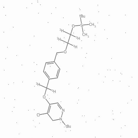 [2H]C([2H])(OC1=C(Cl)CN(C(C)(C)C)N=C1)c1ccc(COC([2H])([2H])C([2H])([2H])O[Si](C)(C)C(C)(C)C)cc1